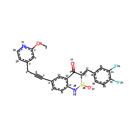 COc1cc(CC#Cc2ccc3c(c2)C(=O)/C(=C/c2ccc(F)c(F)c2)[S+]([O-])N3)ccn1